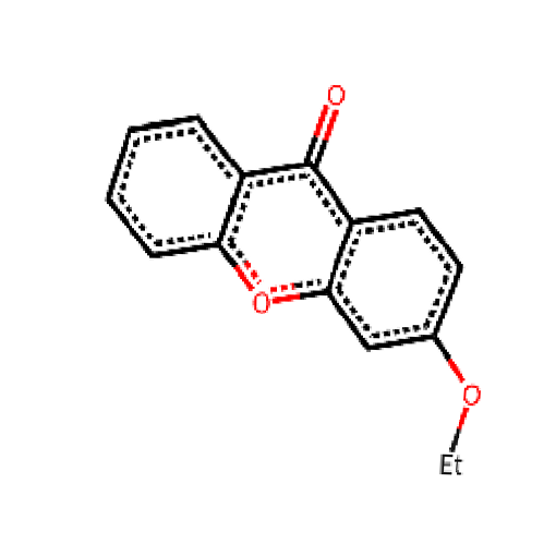 CCOc1ccc2c(=O)c3ccccc3oc2c1